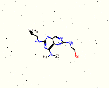 C=CCNc1nc(N(C)C)c2nc(NCCO)ncc2n1